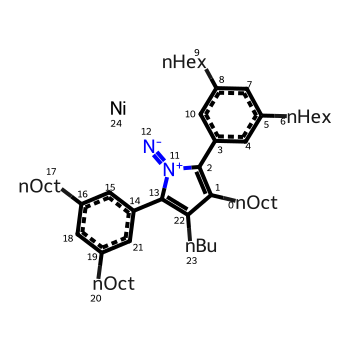 CCCCCCCCC1=C(c2cc(CCCCCC)cc(CCCCCC)c2)[N+](=[N-])C(c2cc(CCCCCCCC)cc(CCCCCCCC)c2)=C1CCCC.[Ni]